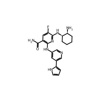 NC(=O)c1cc(F)c(N[C@@H]2CCCC[C@@H]2N)nc1Nc1cncc(-c2ccc[nH]2)c1